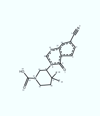 N#Cc1ccc2c(=O)n(C3CN(C(=O)O)CCC3(F)F)cnc2c1